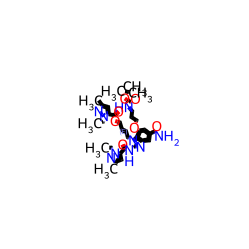 CCn1nc(C)cc1C(=O)Nc1nc2cc(C(N)=O)cc(OCCCNC(=O)OC(C)(C)C)c2n1C/C=C/COC(=O)c1cc(C)nn1CC